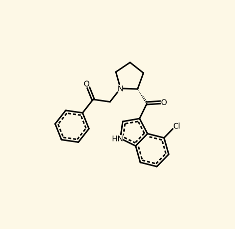 O=C(CN1CCC[C@@H]1C(=O)c1c[nH]c2cccc(Cl)c12)c1ccccc1